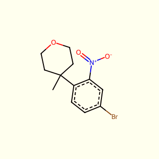 CC1(c2ccc(Br)cc2[N+](=O)[O-])CCOCC1